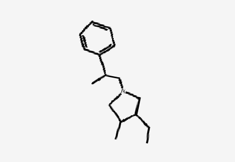 CCC1CN(CC(C)c2ccccc2)CC1C